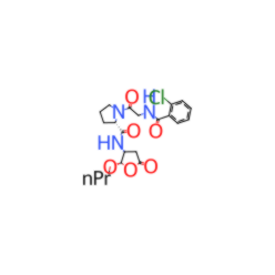 CCCO[C@@H]1OC(=O)C[C@@H]1NC(=O)[C@@H]1CCCN1C(=O)CNC(=O)c1ccccc1Cl